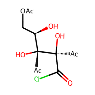 CC(=O)OC[C@@H](O)[C@](O)(C(C)=O)[C@](O)(C(C)=O)C(=O)Cl